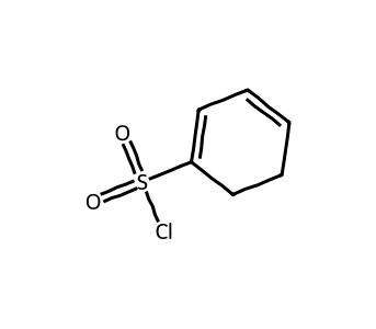 O=S(=O)(Cl)C1=CC=CCC1